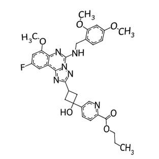 CCCOC(=O)c1ccc(C2(O)CC(c3nc4c5cc(F)cc(OC)c5nc(NCc5ccc(OC)cc5OC)n4n3)C2)cn1